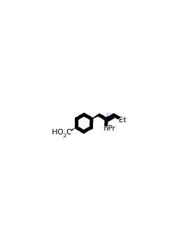 CC/C=C(\CCC)C[C@H]1CC[C@H](C(=O)O)CC1